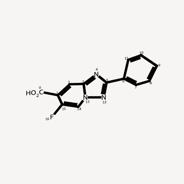 O=C(O)c1cc2nc(-c3ccccc3)nn2cc1F